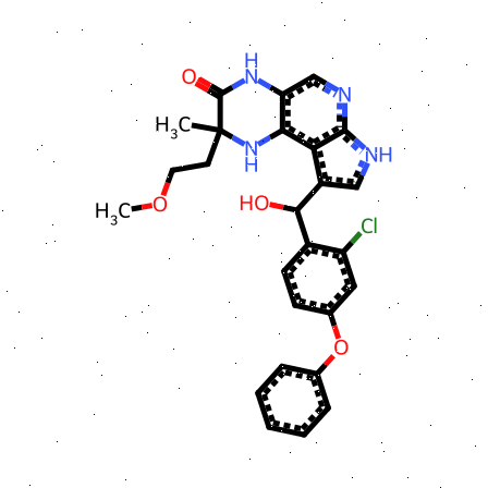 COCCC1(C)Nc2c(cnc3[nH]cc(C(O)c4ccc(Oc5ccccc5)cc4Cl)c23)NC1=O